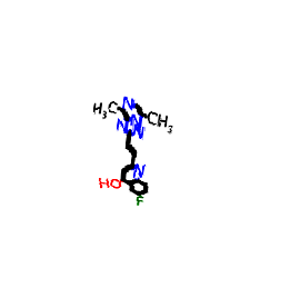 Cc1ncc(C)n2nc(/C=C/c3cc(O)c4cc(F)ccc4n3)nc12